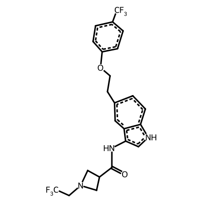 O=C(Nc1c[nH]c2ccc(CCOc3ccc(C(F)(F)F)cc3)cc12)C1CN(CC(F)(F)F)C1